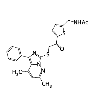 CC(=O)NCc1ccc(C(=O)CSc2nc(-c3ccccc3)c3c(C)cc(C)nn23)s1